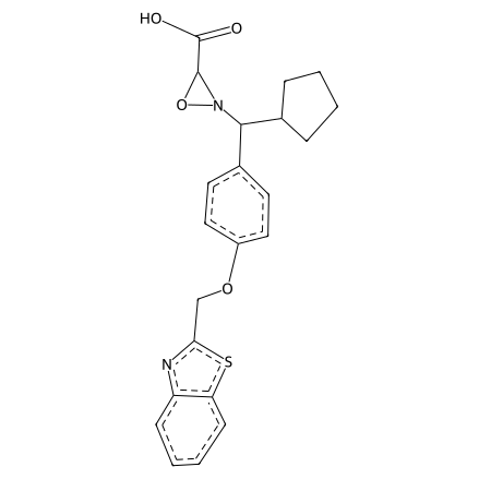 O=C(O)C1ON1C(c1ccc(OCc2nc3ccccc3s2)cc1)C1CCCC1